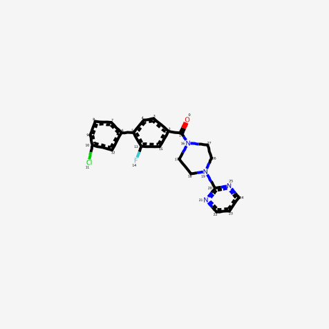 O=C(c1ccc(-c2cccc(Cl)c2)c(F)c1)N1CCN(c2ncccn2)CC1